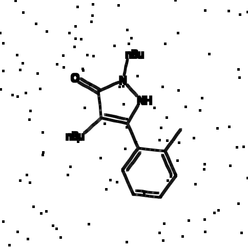 CCCCc1c(-c2ccccc2C)[nH]n(CCCC)c1=O